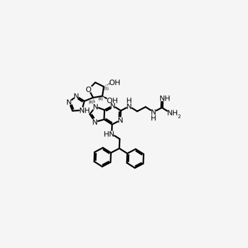 N=C(N)NCCNc1nc(NCC(c2ccccc2)c2ccccc2)c2ncn([C@]3(c4nnc[nH]4)OC[C@H](O)[C@H]3O)c2n1